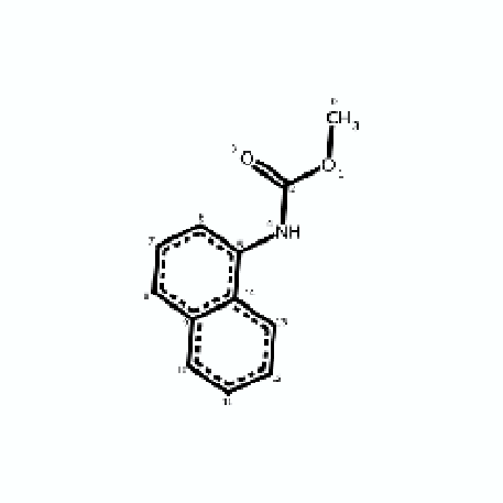 COC(=O)Nc1cccc2ccccc12